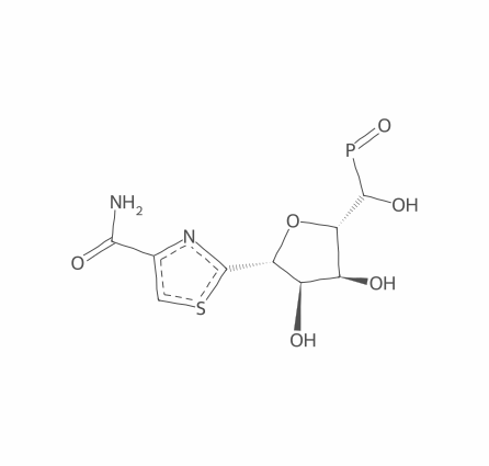 NC(=O)c1csc([C@@H]2O[C@H](C(O)P=O)[C@@H](O)[C@H]2O)n1